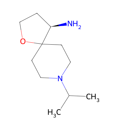 CC(C)N1CCC2(CC1)OCC[C@H]2N